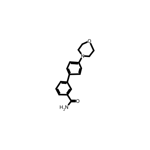 NC(=O)c1cccc(-c2ccc(N3CCOCC3)cc2)c1